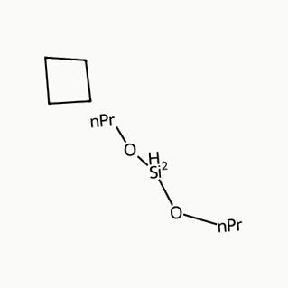 C1CCC1.CCCO[SiH2]OCCC